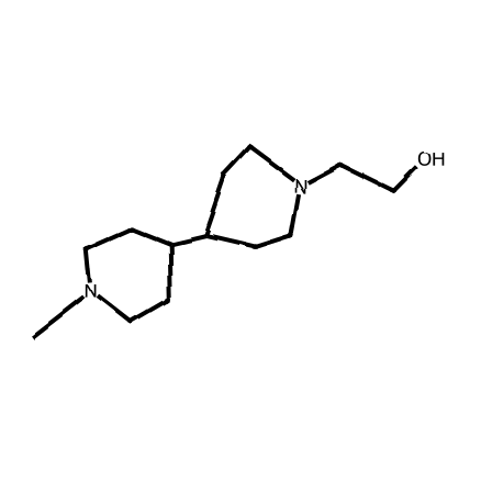 CN1CCC(C2CCN(CCO)CC2)CC1